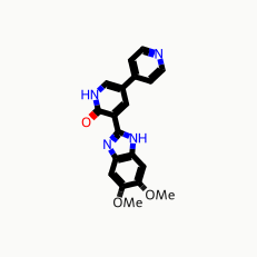 COc1cc2nc(-c3cc(-c4ccncc4)c[nH]c3=O)[nH]c2cc1OC